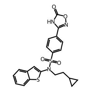 O=c1[nH]c(-c2ccc(S(=O)(=O)N(CCC3CC3)c3cc4ccccc4s3)cc2)no1